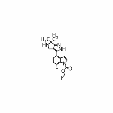 CC1(C)NCc2c1n[nH]c2-c1ccc(F)c2c1ccn2C(=O)OCI